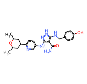 CC1CC(c2ccc(Nc3n[nH]c(NCc4ccc(O)cc4)c3C(N)=O)cn2)CC(C)O1